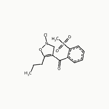 CCCC1=C(C(=O)c2ccccc2S(C)(=O)=O)CN(Cl)O1